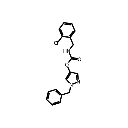 O=C(NCc1ccccc1Cl)Oc1cnn(Cc2ccccc2)c1